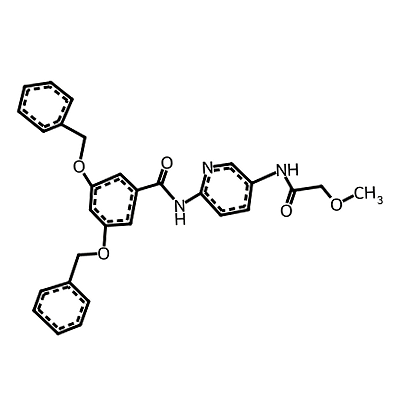 COCC(=O)Nc1ccc(NC(=O)c2cc(OCc3ccccc3)cc(OCc3ccccc3)c2)nc1